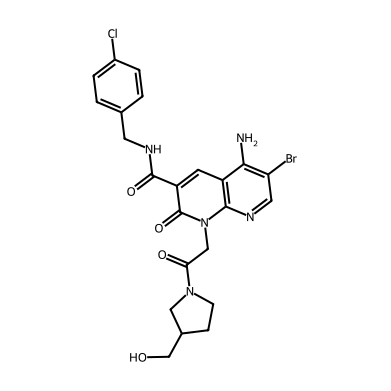 Nc1c(Br)cnc2c1cc(C(=O)NCc1ccc(Cl)cc1)c(=O)n2CC(=O)N1CCC(CO)C1